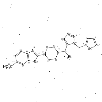 CCC(c1nnnn1Cc1cccs1)N1CCN(c2nc3ccc(C(=O)O)cc3s2)CC1